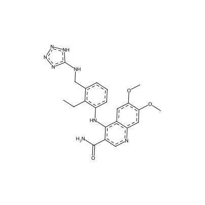 CCc1c(CNc2nnn[nH]2)cccc1Nc1c(C(N)=O)cnc2cc(OC)c(OC)cc12